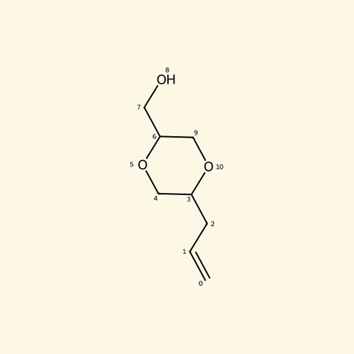 C=CCC1COC(CO)CO1